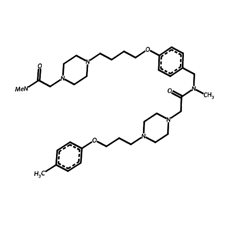 CNC(=O)CN1CCN(CCCCOc2ccc(CN(C)C(=O)CN3CCN(CCCOc4ccc(C)cc4)CC3)cc2)CC1